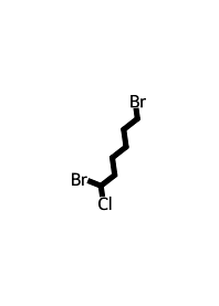 ClC(Br)CCCCCBr